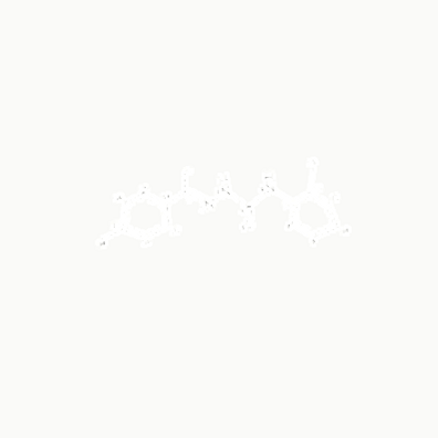 C/C(=N\NC(=S)Nc1ccccc1C)c1ccc(C)cc1